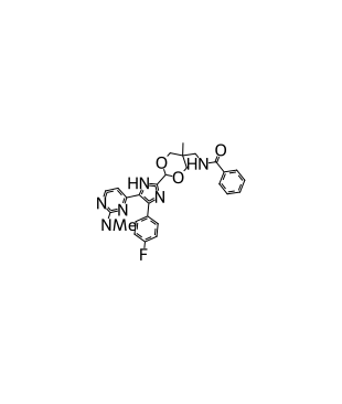 CNc1nccc(-c2[nH]c(C3OCC(C)(CNC(=O)c4ccccc4)CO3)nc2-c2ccc(F)cc2)n1